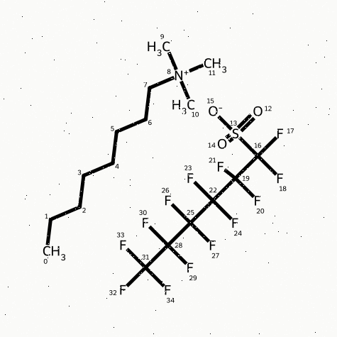 CCCCCCCC[N+](C)(C)C.O=S(=O)([O-])C(F)(F)C(F)(F)C(F)(F)C(F)(F)C(F)(F)C(F)(F)F